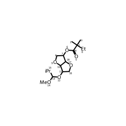 CCC(C)(C)C(=O)OC1COC2C(OC(OC)C(C)C)COC12